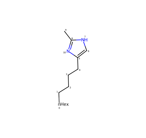 CCCCCCCCCCc1c[nH]c(C)n1